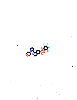 O=S(=O)(Oc1c(F)c(F)c(F)c(F)c1F)c1ccc2c(C3CCCN3C3CCOCC3)nccc2c1